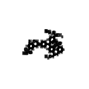 CCN(Cc1cccc(S(=O)(=O)O)c1)c1ccc(C(=C2C=CC(=[N+](C)C)C=C2)c2ccc(N(CC)Cc3cccc(S(=O)(=O)O)c3)cc2)cc1.[Na+]